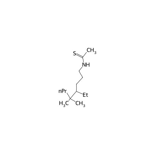 CCCC(C)(C)C(CC)CCCNC(C)=S